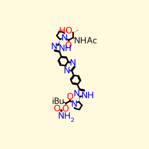 CCC(C)[C@H](OC(N)=O)C(=O)N1CCC[C@H]1c1nc(-c2ccc(-c3cnc4cc(-c5cnc([C@@H]6CCCN6C(=O)[C@@H](NC(C)=O)[C@@H](C)O)[nH]5)ccc4n3)cc2)c[nH]1